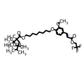 COc1cc(/C=C/C(=O)OCC(F)(F)F)ccc1OCCCCCCCCOC(=O)C(C)(CC(C)(C)C(C)C)C(C)(C)C